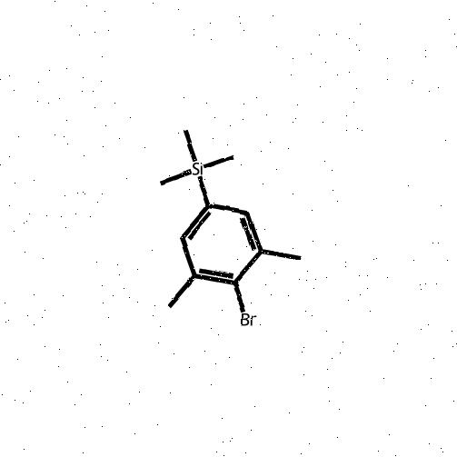 Cc1cc([Si](C)(C)C)cc(C)c1Br